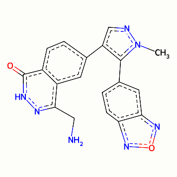 Cn1ncc(-c2ccc3c(=O)[nH]nc(CN)c3c2)c1-c1ccc2nonc2c1